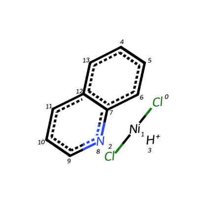 [Cl][Ni][Cl].[H+].c1ccc2ncccc2c1